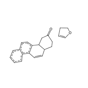 C1=COCC1.O=C1CCC2C=Cc3c(ccc4ccccc34)C2C1